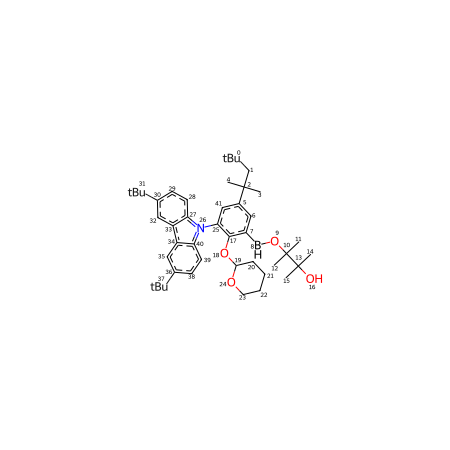 CC(C)(C)CC(C)(C)c1cc(BOC(C)(C)C(C)(C)O)c(OC2CCCCO2)c(-n2c3ccc(C(C)(C)C)cc3c3cc(C(C)(C)C)ccc32)c1